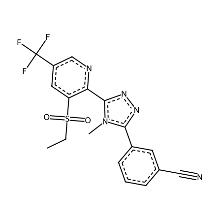 CCS(=O)(=O)c1cc(C(F)(F)F)cnc1-c1nnc(-c2cccc(C#N)c2)n1C